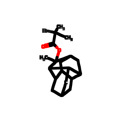 CCC(C)(C)C(=O)OC1(C)C2CC3C4CC5CC3C1C(C5)C4C2